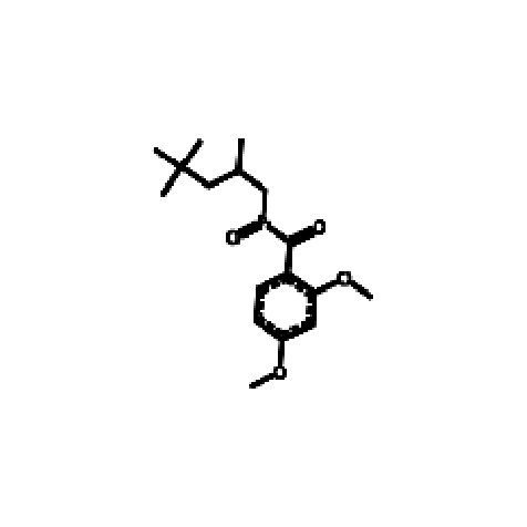 COc1ccc(C(=O)[P](=O)CC(C)CC(C)(C)C)c(OC)c1